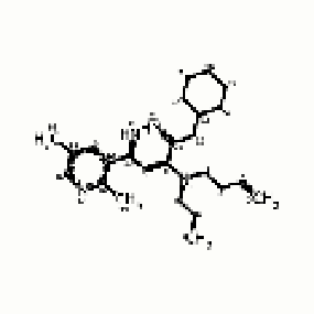 C=CCCN(CCC)/C(=C/C(=N)c1cc(C)cnc1C)C(=N)CC1CCCCC1